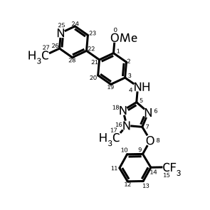 COc1cc(Nc2nc(Oc3ccccc3C(F)(F)F)n(C)n2)ccc1-c1ccnc(C)c1